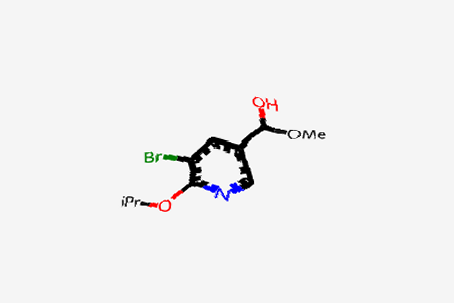 COC(O)c1cnc(OC(C)C)c(Br)c1